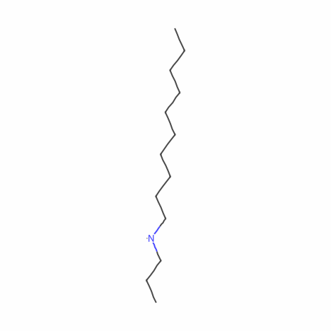 CCCCCCCCCC[N]CCC